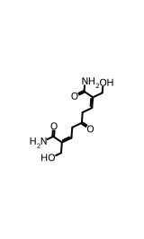 NC(=O)C(=CCC(=O)CC=C(CO)C(N)=O)CO